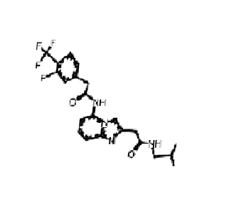 CC(C)CNC(=O)Cc1cn2c(NC(=O)Cc3ccc(C(F)(F)F)c(F)c3)cccc2n1